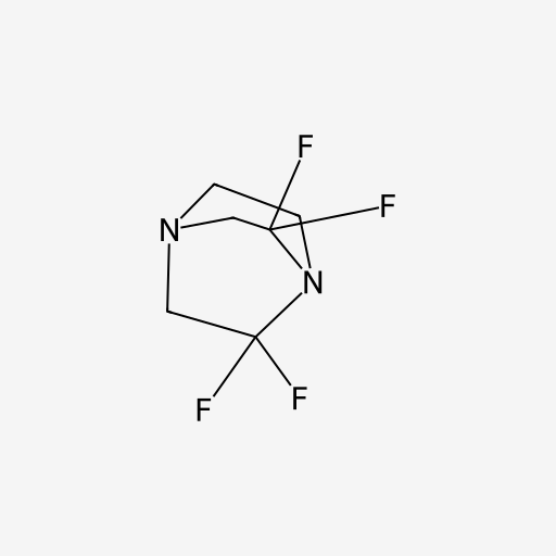 FC1(F)CN2CCN1C(F)(F)C2